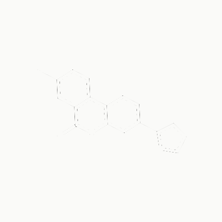 O=c1oc2cc(-c3cccs3)ccc2c2ccc(Br)cc12